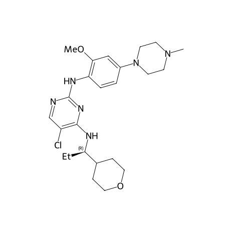 CC[C@@H](Nc1nc(Nc2ccc(N3CCN(C)CC3)cc2OC)ncc1Cl)C1CCOCC1